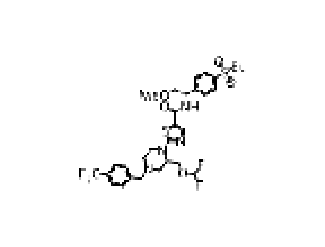 CCS(=O)(=O)c1ccc([C@H](COC)NC(=O)c2cnc(N3CCN(Cc4ccc(C(F)(F)F)cc4)CC3COC(F)F)s2)cc1